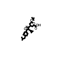 CC(C)Cc1ccc(-c2onc(C(CCC(=O)O)CC(=O)OC(C)(C)C)c2C2CC2)cc1